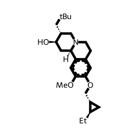 CC[C@@H]1C[C@H]1COc1cc2c(cc1OC)[C@H]1C[C@@H](O)[C@H](CC(C)(C)C)CN1CC2